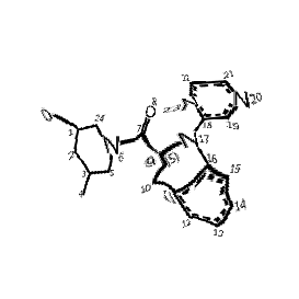 CC1CC(C)CN(C(=O)[C@@H]2Cc3ccccc3N2c2cnccn2)C1